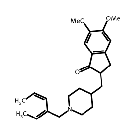 C/C=C\C(=C/C)CN1CCC(CC2Cc3cc(OC)c(OC)cc3C2=O)CC1